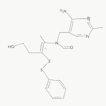 C/C(=C(\CCO)SSc1ccccc1)N(C=O)Cc1cnc(C)nc1N